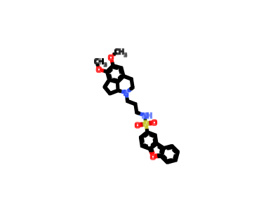 COc1cc2c3c(c1OC)CCC3N(CCCNS(=O)(=O)c1ccc3oc4ccccc4c3c1)CC2